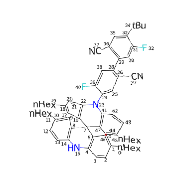 CCCCCCc1ccc2c(c1)C1(c3cc(CCCCCC)ccc3N2)c2cc(CCCCCC)ccc2N(c2cc(C#N)c(-c3cc(F)c(C(C)(C)C)cc3C#N)cc2F)c2ccc(CCCCCC)cc21